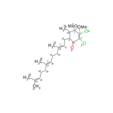 COC1(OC)C(Cl)=C(Cl)C(=O)C(C/C=C(\C)CC/C=C(\C)CCC=C(C)C)C1C